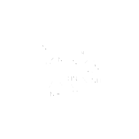 CN(C)CC(=O)N1CCN(c2c(Br)cnc3[nH]cc(NC(=O)c4cccnc4)c23)CC1